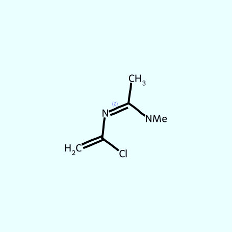 C=C(Cl)/N=C(/C)NC